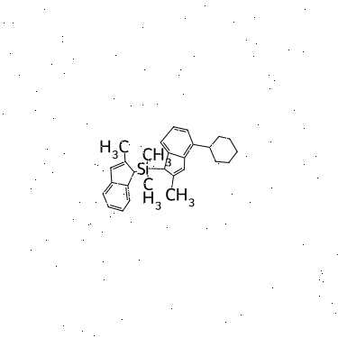 CC1=Cc2ccccc2C1[Si](C)(C)C1C(C)=Cc2c(C3CCCCC3)cccc21